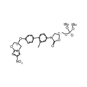 CC(C)(C)OP(=O)(OC[C@H]1CN(c2ccc(-c3ccc(O[C@@H]4COc5nc([N+](=O)[O-])cn5C4)nc3)c(F)c2)C(=O)O1)OC(C)(C)C